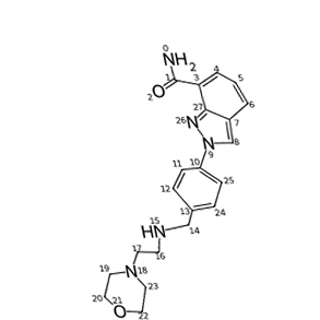 NC(=O)c1cccc2cn(-c3ccc(CNCCN4CCOCC4)cc3)nc12